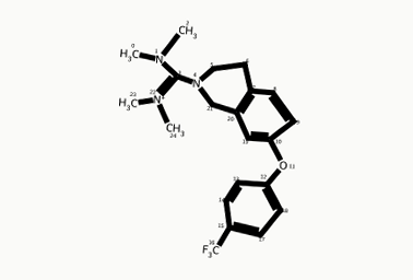 CN(C)C(N1CCc2ccc(Oc3ccc(C(F)(F)F)cc3)cc2C1)=[N+](C)C